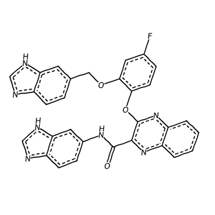 O=C(Nc1ccc2nc[nH]c2c1)c1nc2ccccc2nc1Oc1ccc(F)cc1OCc1ccc2nc[nH]c2c1